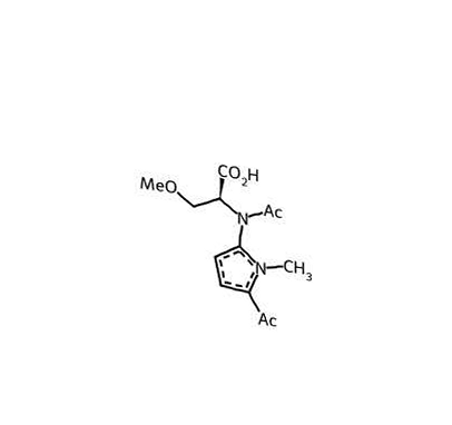 COC[C@@H](C(=O)O)N(C(C)=O)c1ccc(C(C)=O)n1C